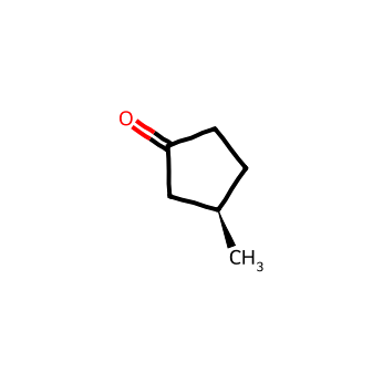 C[C@@H]1CCC(=O)C1